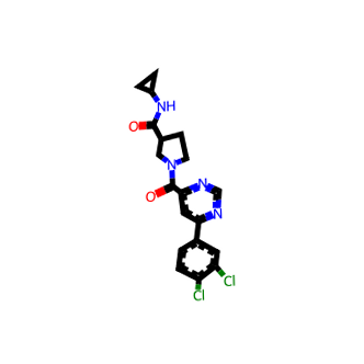 O=C(NC1CC1)C1CCN(C(=O)c2cc(-c3ccc(Cl)c(Cl)c3)ncn2)C1